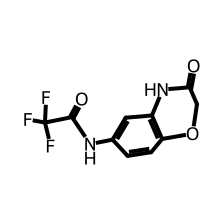 O=C1COc2ccc(NC(=O)C(F)(F)F)cc2N1